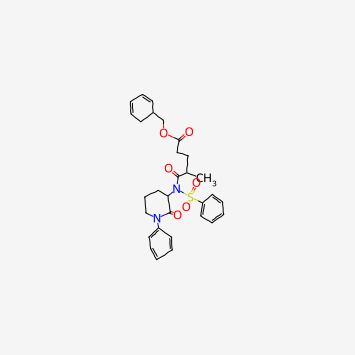 CC(CCC(=O)OCC1C=CC=CC1)C(=O)N(C1CCCN(c2ccccc2)C1=O)S(=O)(=O)c1ccccc1